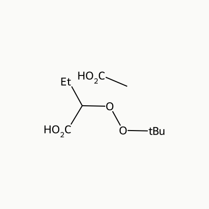 CC(=O)O.CCC(OOC(C)(C)C)C(=O)O